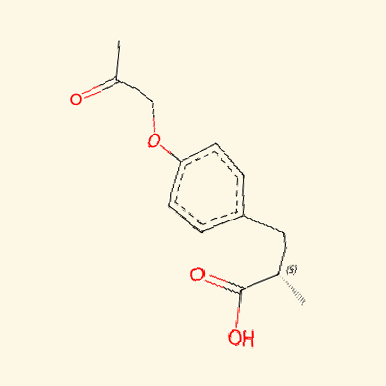 CC(=O)COc1ccc(C[C@H](C)C(=O)O)cc1